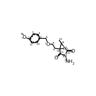 COc1ccc(COCCC23C(=O)N(N)C(=O)N2C3C)cc1